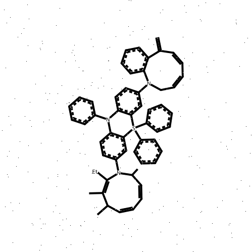 C=C1/C=C\C=C/CN(c2ccc3c(c2)S(c2ccccc2)(c2ccccc2)c2cc(N4/C(CC)=C(/C)C(C)/C=C\C=C/C4C)ccc2N3c2ccccc2)c2ccccc21